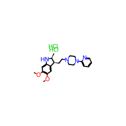 COc1cc2c(cc1OC)[C@H](CCN1CCN(c3ccccn3)CC1)[C@H](C)N2.Cl.Cl